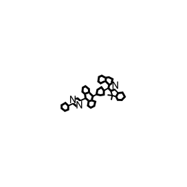 CC1(C)c2ccccc2-c2nc3ccc4ccccc4c3c(-c3ccc(-c4c5ccccc5c(-c5cnc(-c6ccccc6)cn5)c5ccccc45)cc3)c21